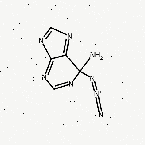 [N-]=[N+]=NC1(N)N=CN=C2N=CN=C21